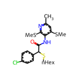 CCCCCCSC(C(=O)Nc1c(SC)cc(C)nc1SC)c1ccc(Cl)cc1